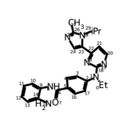 CCN(c1ccc(C(=O)Nc2ccccc2N)cc1)c1nccc(-c2cnc(C)n2C(C)C)n1